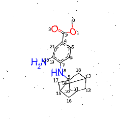 COC(=O)c1ccc(NC23CC4CC(CC(C4)C2)C3)c(N)c1